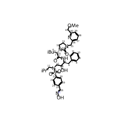 CC[C@H](C)[C@@H](C(=O)N[C@@H](Cc1ccccc1)[C@H](O)CN(CC(C)C)S(=O)(=O)c1ccc(/C=N/O)cc1)N1CCN(Cc2cccc(COC)n2)C1=O